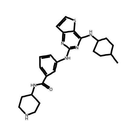 CC1CCC(Nc2nc(Nc3cccc(C(=O)NC4CCNCC4)c3)nc3ccsc23)CC1